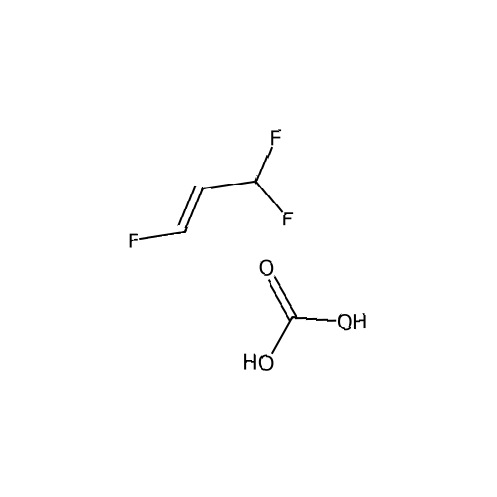 FC=CC(F)F.O=C(O)O